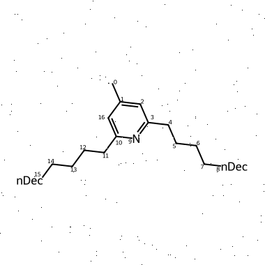 [CH2]c1cc(CCCCCCCCCCCCCC)nc(CCCCCCCCCCCCCC)c1